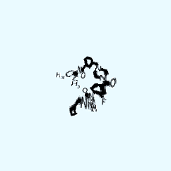 CC(C)=NC(=O)c1cccc(CN2CCN(C(=O)c3ccc(NC(=O)NCC4CCC4)c(F)c3)CC2)c1